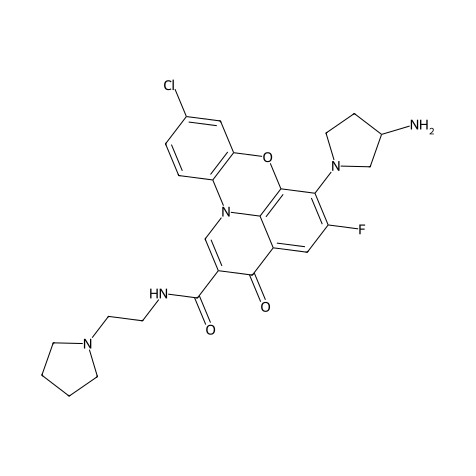 NC1CCN(c2c(F)cc3c(=O)c(C(=O)NCCN4CCCC4)cn4c3c2Oc2cc(Cl)ccc2-4)C1